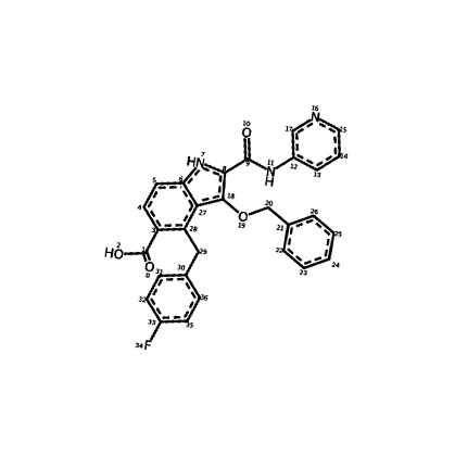 O=C(O)c1ccc2[nH]c(C(=O)Nc3cccnc3)c(OCc3ccccc3)c2c1Cc1ccc(F)cc1